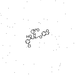 O=CN1CCCC1.O[C@@H](CNCCOc1ccc2occc2c1)c1cccc(Cl)c1